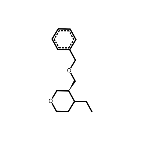 CC[C]1CCOC[C@H]1COCc1ccccc1